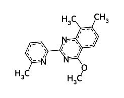 COc1nc(-c2cccc(C)n2)nc2c(C)c(C)ccc12